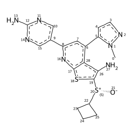 Cn1nccc1-c1cc(-c2cnc(N)nc2)nc2sc([S@+]([O-])C3CCC3)c(N)c12